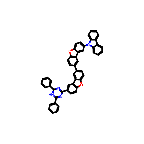 c1ccc(C2=NC(c3ccc4oc5ccc(-c6ccc7oc8ccc(-n9c%10ccccc%10c%10ccccc%109)cc8c7c6)cc5c4c3)=NC(c3ccccc3)N2)cc1